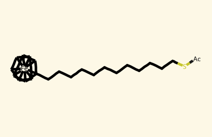 CC(=O)SCCCCCCCCCCCC[C]12[CH]3[CH]4[CH]5[CH]1[Fe]45321678[CH]2[CH]1[CH]6[CH]7[CH]28